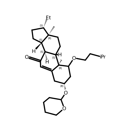 CC[C@H]1CC[C@H]2[C@@H]3C(=O)C=C4C[C@@H](OC5CCCCO5)CC(OCCC(C)C)[C@]4(C)[C@H]3CC[C@]12C